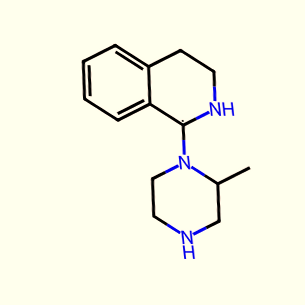 CC1CNCCN1[C]1NCCc2ccccc21